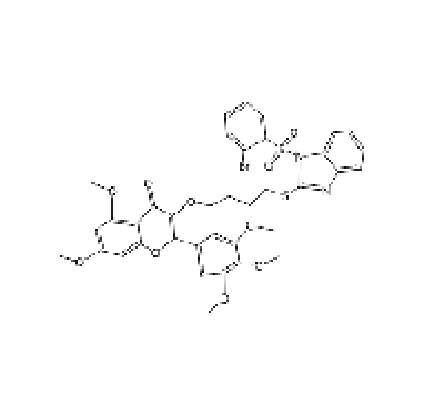 COc1cc(OC)c2c(=O)c(OCCCCSc3nc4ccccc4n3S(=O)(=O)c3ccccc3Br)c(-c3cc(OC)c(OC)c(OC)c3)oc2c1